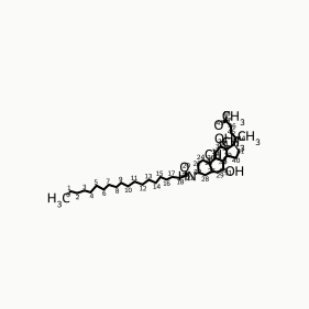 CCCCCCCCCCCCCCCCCCCC(=O)N[C@H]1CC[C@@]2(C)C(C1)C[C@@H](O)C1C2C[C@H](O)[C@@]2(C)C1CC[C@@H]2[C@H](C)CCC(C)=O